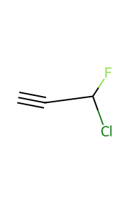 C#CC(F)Cl